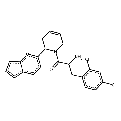 NC(Cc1ccc(Cl)cc1Cl)C(=O)N1CC=CCC1c1ccc2cccc-2o1